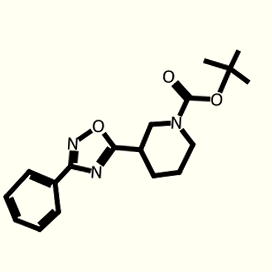 CC(C)(C)OC(=O)N1CCCC(c2nc(-c3ccccc3)no2)C1